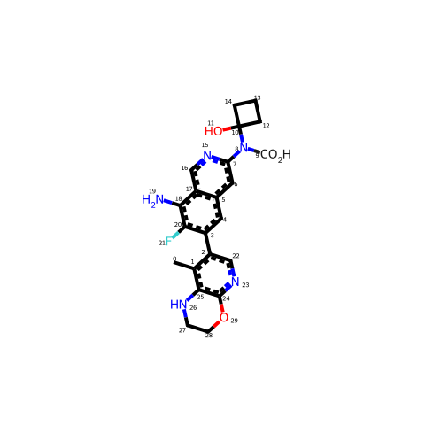 Cc1c(-c2cc3cc(N(C(=O)O)C4(O)CCC4)ncc3c(N)c2F)cnc2c1NCCO2